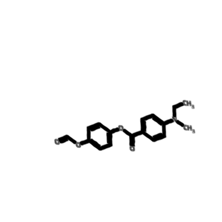 CCN(C)c1ccc(C(=O)Oc2ccc(OC=O)cc2)cc1